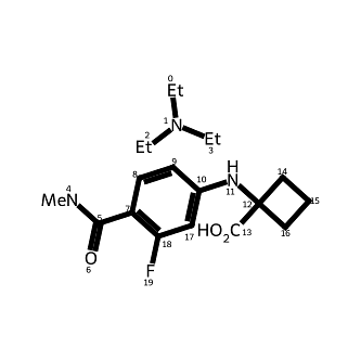 CCN(CC)CC.CNC(=O)c1ccc(NC2(C(=O)O)CCC2)cc1F